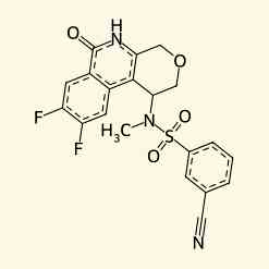 CN(C1COCc2[nH]c(=O)c3cc(F)c(F)cc3c21)S(=O)(=O)c1cccc(C#N)c1